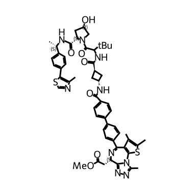 COC(=O)C[C@@H]1N=C(c2ccc(-c3ccc(C(=O)N[C@H]4C[C@H](C(=O)NC(C(=O)N5C[C@H](O)C[C@H]5C(=O)N[C@@H](C)c5ccc(-c6scnc6C)cc5)C(C)(C)C)C4)cc3)cc2)c2c(sc(C)c2C)-n2c(C)nnc21